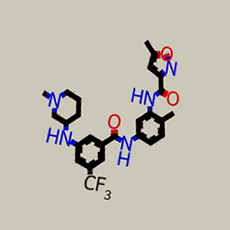 Cc1cc(C(=O)Nc2cc(NC(=O)c3cc(NC4CCCN(C)C4)cc(C(F)(F)F)c3)ccc2C)no1